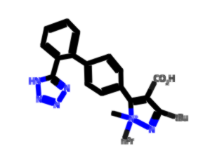 CCC[N+]1(C)N=C(C(C)(C)C)C(C(=O)O)=C1c1ccc(-c2ccccc2-c2nnn[nH]2)cc1